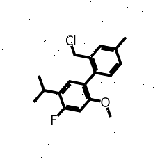 COc1cc(F)c(C(C)C)cc1-c1ccc(C)cc1CCl